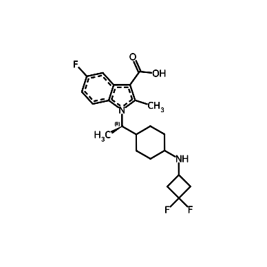 Cc1c(C(=O)O)c2cc(F)ccc2n1[C@H](C)C1CCC(NC2CC(F)(F)C2)CC1